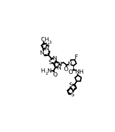 Cc1cc2ncc(-c3nc4c(s3)c(C(N)=O)nn4CC(=O)N3C[C@H](F)C[C@H]3C(=O)NC3CCC(c4cc5sccc5s4)C3)cn2n1